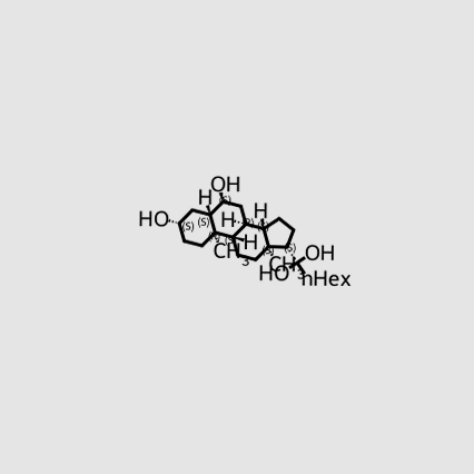 CCCCCCC(O)(O)[C@H]1CC[C@H]2[C@@H]3C[C@H](O)[C@H]4C[C@@H](O)CC[C@]4(C)[C@H]3CC[C@]12C